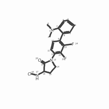 CN(C)c1ccccc1-c1ccc(N2CCC(NCl)C2=O)c(F)c1F